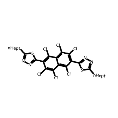 CCCCCCCc1nnc(-c2c(Cl)c(Cl)c3c(Cl)c(-c4nnc(CCCCCCC)s4)c(Cl)c(Cl)c3c2Cl)s1